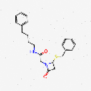 O=C(CN1C(=O)CC1SCc1ccccc1)NCCCCc1ccccc1